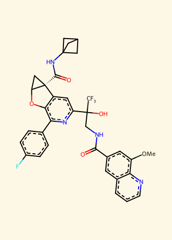 COc1cc(C(=O)NCC(O)(c2cc3c(c(-c4ccc(F)cc4)n2)OC2C[C@@]32C(=O)NC23CC(C2)C3)C(F)(F)F)cc2cccnc12